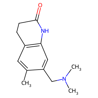 Cc1cc2c(cc1CN(C)C)NC(=O)CC2